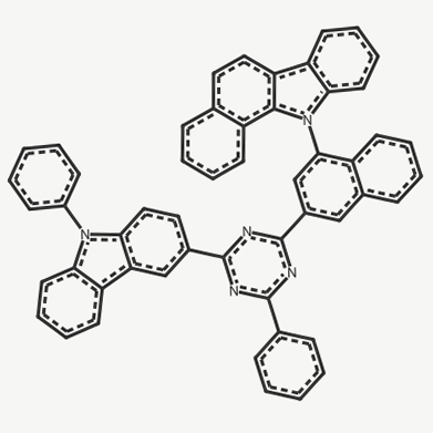 c1ccc(-c2nc(-c3cc(-n4c5ccccc5c5ccc6ccccc6c54)c4ccccc4c3)nc(-c3ccc4c(c3)c3ccccc3n4-c3ccccc3)n2)cc1